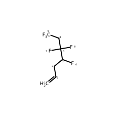 C=CCC(F)C(F)(F)CC(F)(F)F